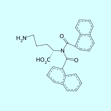 NCCC[C@@H](C(=O)O)N(C(=O)c1cccc2ccccc12)C(=O)c1cccc2ccccc12